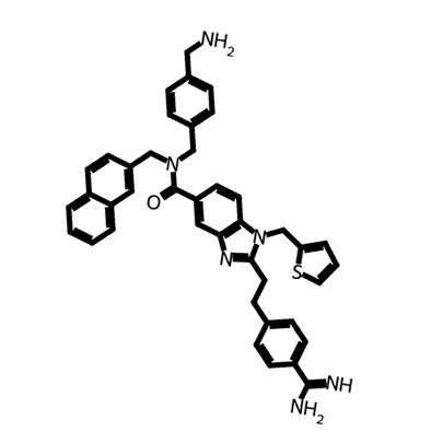 N=C(N)c1ccc(CCc2nc3cc(C(=O)N(Cc4ccc(CN)cc4)Cc4ccc5ccccc5c4)ccc3n2Cc2cccs2)cc1